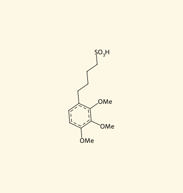 COc1ccc(CCCCS(=O)(=O)O)c(OC)c1OC